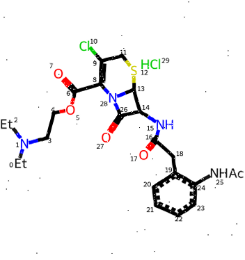 CCN(CC)CCOC(=O)C1=C(Cl)CSC2C(NC(=O)Cc3ccccc3NC(C)=O)C(=O)N12.Cl